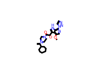 C=C(C1CCCCCC1)N1CCN(C(=O)C(=O)c2c[nH]c3c(-n4ccnn4)ncc(OC)c23)CC1